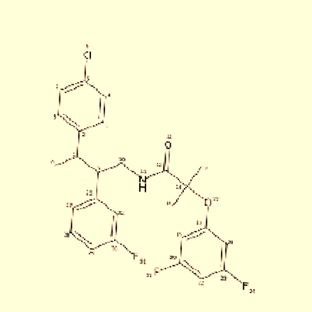 CC(c1ccc(Cl)cc1)C(CNC(=O)C(C)(C)Oc1cc(F)cc(F)c1)c1cccc(F)c1